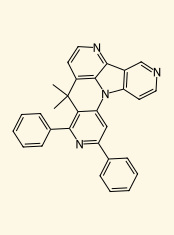 CC1(C)c2c(cc(-c3ccccc3)nc2-c2ccccc2)-n2c3ccncc3c3nccc1c32